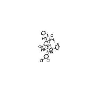 NC(=O)[C@H](CC(=O)N[C@@H](Cc1ccccc1)C(N)=O)NCc1cc(-c2cccnc2)nn1-c1ccc(Cl)c(Cl)c1